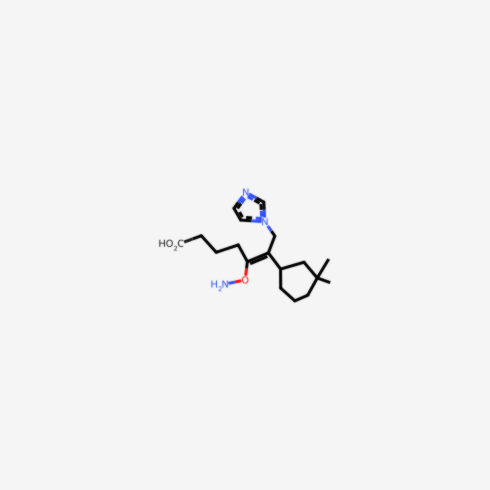 CC1(C)CCCC(C(Cn2ccnc2)=C(CCCC(=O)O)ON)C1